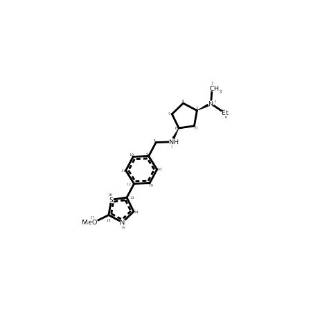 CCN(C)[C@@H]1CC[C@H](NCc2ccc(-c3cnc(OC)s3)cc2)C1